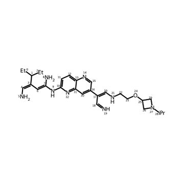 CCC(CC)C(=C/N)/C=C(\N)Nc1ccc2ncc(/C(C=N)=C/NCCOC3CN(C(C)C)C3)cc2n1